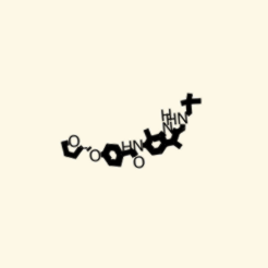 Cc1c(CNCC(C)(C)C)[nH]c2c(C)c(NC(=O)c3ccc(OC[C@@H]4CCCO4)cc3)ccc12